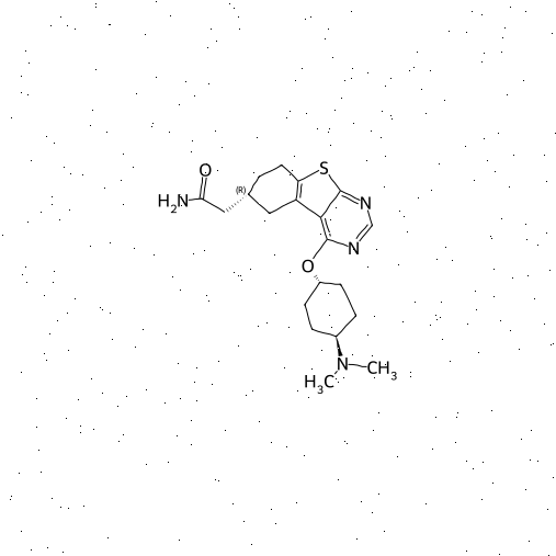 CN(C)[C@H]1CC[C@H](Oc2ncnc3sc4c(c23)C[C@H](CC(N)=O)CC4)CC1